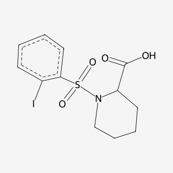 O=C(O)C1CCCCN1S(=O)(=O)c1ccccc1I